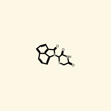 O=C1CSC(N2C(=O)c3cccc4cccc2c34)C(=O)N1